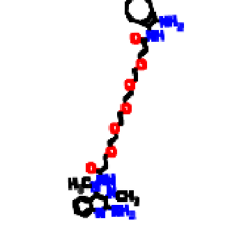 CNc1c(N)nc2ccccc2c1N(C)NC(=O)CCOCCOCCOCCOCCOCCC(=O)NC1C2CCCCCCC(C2)C1N